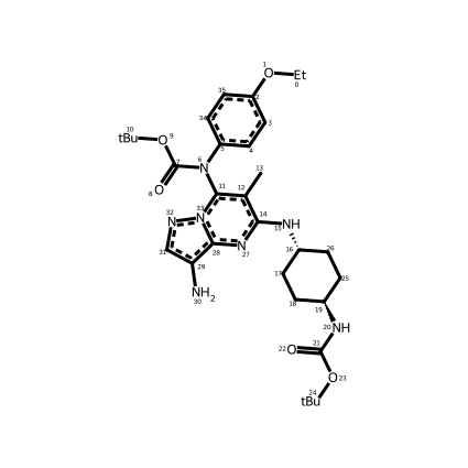 CCOc1ccc(N(C(=O)OC(C)(C)C)c2c(C)c(N[C@H]3CC[C@H](NC(=O)OC(C)(C)C)CC3)nc3c(N)cnn23)cc1